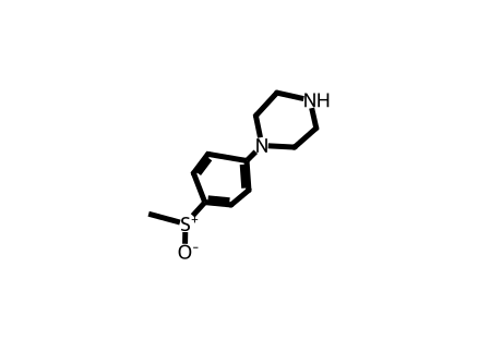 C[S+]([O-])c1ccc(N2CCNCC2)cc1